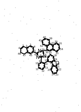 C1=Cc2ccc(-c3nc(-c4ccccc4-c4cccc5oc6ccccc6c45)nc(-c4cc5ccccc5c5ccccc45)n3)cc2CC1